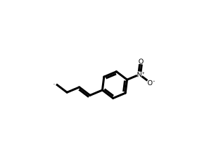 [CH2]C/C=C/c1ccc([N+](=O)[O-])cc1